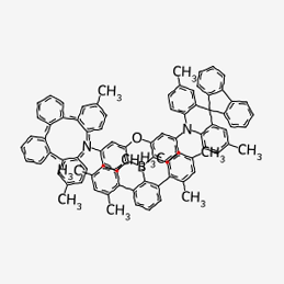 Cc1cc(C)c(-c2cccc(-c3c(C)cc(C)cc3C)c2B2c3ccc(N4c5ccc(C)cc5C5(c6ccccc6-c6ccccc65)c5cc(C)ccc54)cc3Oc3cc(-n4c5ccc(C)cc5c5ccccc5c5ccccc5c5cc(C)ccc54)ccc32)c(C)c1